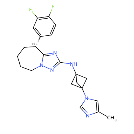 Cc1cn(C23CC(Nc4nc5n(n4)CCCC[C@@H]5c4ccc(F)c(F)c4)(C2)C3)cn1